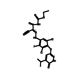 CCOC(=O)NC(=O)/C(C#N)=N/Nc1cc(Cl)c(Oc2cc(C(C)C)c(=O)[nH]n2)c(Cl)c1F